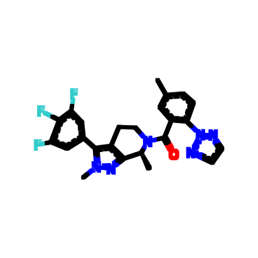 Cc1ccc(-n2nccn2)c(C(=O)N2CCc3c(nn(C)c3-c3cc(F)c(F)c(F)c3)[C@@H]2C)c1